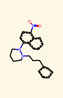 O=[N+]([O-])c1ccc(N2CCCCN2CCCc2ccccc2)c2ccccc12